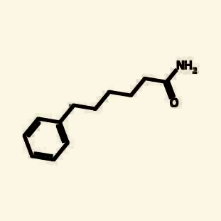 NC(=O)CCCC[CH]c1ccccc1